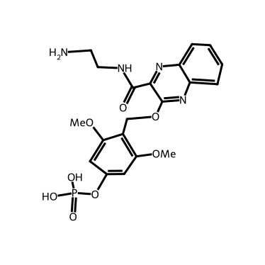 COc1cc(OP(=O)(O)O)cc(OC)c1COc1nc2ccccc2nc1C(=O)NCCN